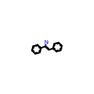 [N]C(=Cc1ccccc1)c1ccccc1